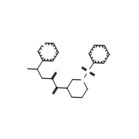 CC(CC(=N)C(=O)C1CCCN(S(=O)(=O)c2ccccc2)C1)c1cccnc1